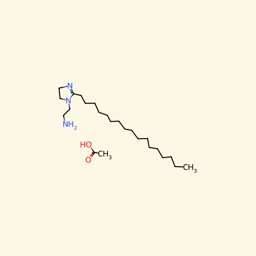 CC(=O)O.CCCCCCCCCCCCCCCCCC1=NCCN1CCN